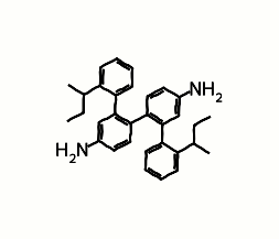 CCC(C)c1ccccc1-c1cc(N)ccc1-c1ccc(N)cc1-c1ccccc1C(C)CC